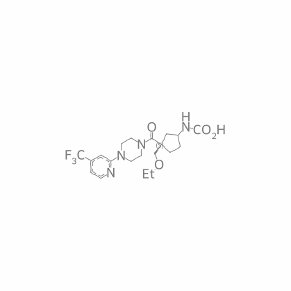 CCOC[C@]1(C(=O)N2CCN(c3cc(C(F)(F)F)ccn3)CC2)CCC(NC(=O)O)C1